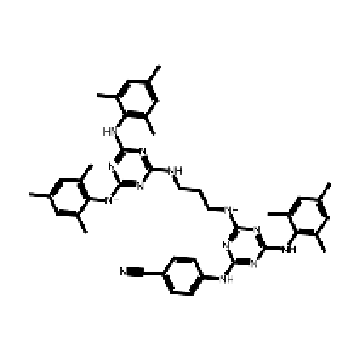 Cc1cc(C)c(Nc2nc(NCCCNc3nc(Nc4c(C)cc(C)cc4C)nc(Nc4c(C)cc(C)cc4C)n3)nc(Nc3ccc(C#N)cc3)n2)c(C)c1